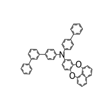 c1ccc(-c2ccc(N(c3ccc(-c4cccc(-c5ccccc5)c4)cc3)c3ccc4c(c3)Oc3cccc5cccc(c35)O4)cc2)cc1